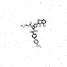 C=COC(=O)n1cc(NC(=O)c2ccc(N3CCN(C)CC3)cc2)c2c1CN(C(=O)Nc1c(CC)cccc1CC)C2